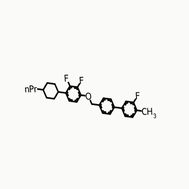 CCCC1CCC(c2ccc(OCc3ccc(-c4ccc(C)c(F)c4)cc3)c(F)c2F)CC1